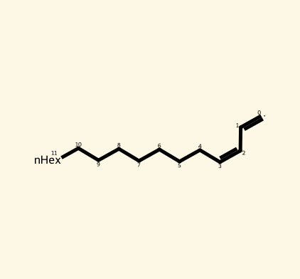 [CH]=C/C=C\CCCCCCCCCCCCC